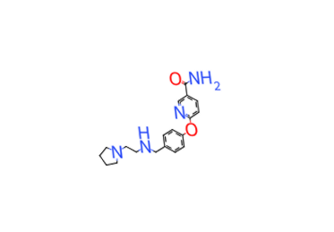 NC(=O)c1ccc(Oc2ccc(CNCCN3CCCC3)cc2)nc1